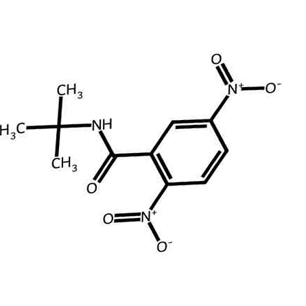 CC(C)(C)NC(=O)c1cc([N+](=O)[O-])ccc1[N+](=O)[O-]